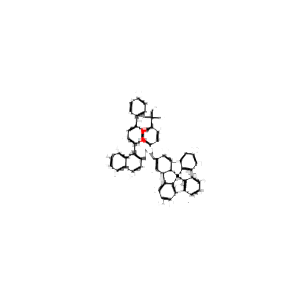 CC(C)(C)c1ccc(N(C2=CC3c4ccccc4C(c4ccccc4)(c4ccccc4)C3C=C2)c2ccc3ccccc3c2-c2ccc(-c3ccccc3)cc2)cc1